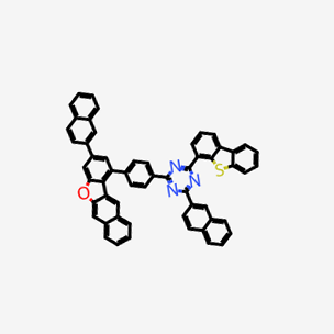 c1ccc2cc(-c3cc(-c4ccc(-c5nc(-c6ccc7ccccc7c6)nc(-c6cccc7c6sc6ccccc67)n5)cc4)c4c(c3)oc3cc5ccccc5cc34)ccc2c1